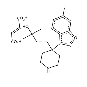 CC(C)(O)CCC1(c2noc3cc(F)ccc23)CCNCC1.O=C(O)/C=C/C(=O)O